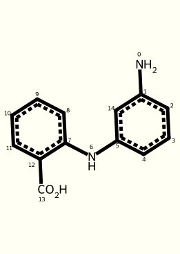 Nc1cccc(Nc2ccccc2C(=O)O)c1